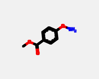 COC(=O)c1ccc(ON)cc1